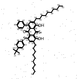 CCCCCCCCCCc1cc(Sc2ccc(C(C)(C)C)cc2)c2c(c1O)C(=S)c1c(O)c(CCCCCCCCCC)cc(-c3ccccc3)c1C2=O